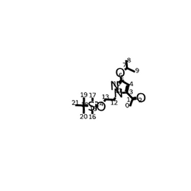 CC(=O)c1cc(OC(C)C)nn1CCO[Si](C)(C)C(C)(C)C